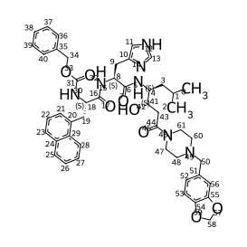 CC(C)C[C@H](NC(=O)[C@H](Cc1c[nH]cn1)NC(=O)[C@H](Cc1cccc2ccccc12)NC(=O)OCc1ccccc1)[C@@H](O)CC(=O)N1CCN(Cc2ccc3c(c2)OCO3)CC1